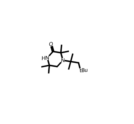 CC(C)(C)CC(C)(C)N1CC(C)(C)NC(=O)C1(C)C